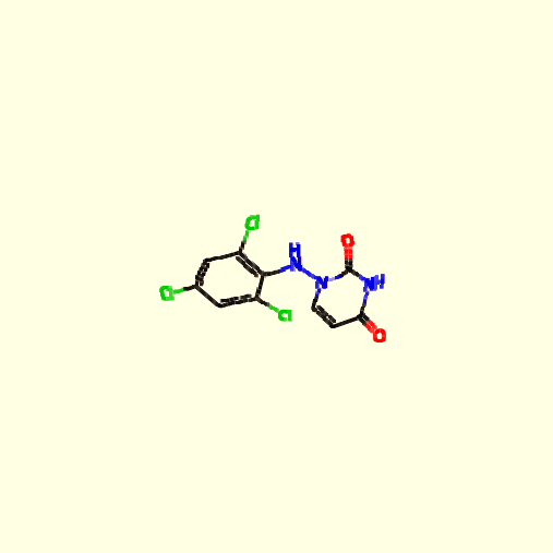 O=c1ccn(Nc2c(Cl)cc(Cl)cc2Cl)c(=O)[nH]1